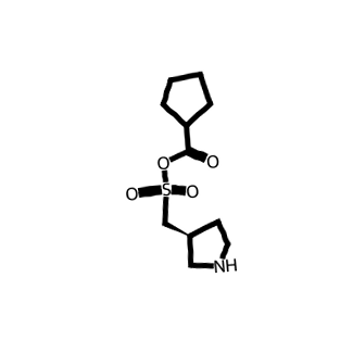 O=C(OS(=O)(=O)C[C@H]1CCNC1)C1CCCC1